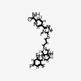 Cn1c(SCCCN2C[C@H]3CCN(c4c(F)cc(F)cc4F)[C@H]3C2)nnc1-c1ccc(C(N)=O)nc1